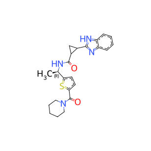 C[C@@H](NC(=O)C1CC1c1nc2ccccc2[nH]1)c1ccc(C(=O)N2CCCCC2)s1